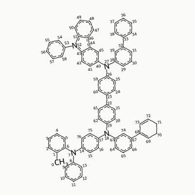 Cc1ccccc1N(c1ccccc1)c1ccc(N(c2ccc(-c3ccc(N(c4cccc(-c5ccccc5)c4)c4ccc5c(c4)c4ccccc4n5-c4ccccc4)cc3)cc2)c2cccc(C3=CCCC=C3)c2)cc1